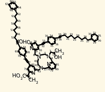 C=C(O)CN1CCN(Cc2cc(C#Cc3ccc(C#CCCCCCCCCc4ccccc4)cc3)cc(C=O)n2)CCN(Cc2cc(C#Cc3ccc(C#CCCCCCCCCc4ccccc4)cc3)cc(C(=C)C(=O)O)n2)Cc2cccc(n2)C1